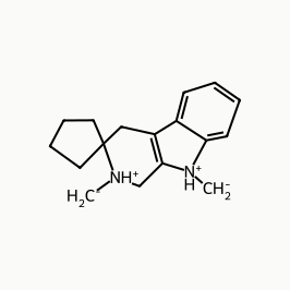 [CH2-][NH+]1C2=C(CC3(CCCC3)[NH+]([CH2-])C2)c2ccccc21